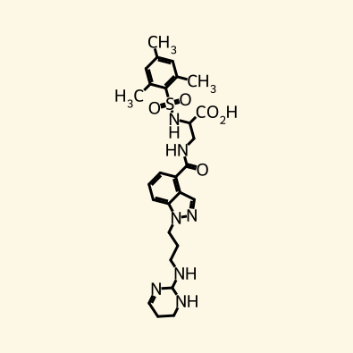 Cc1cc(C)c(S(=O)(=O)NC(CNC(=O)c2cccc3c2cnn3CCCNC2N=CCCN2)C(=O)O)c(C)c1